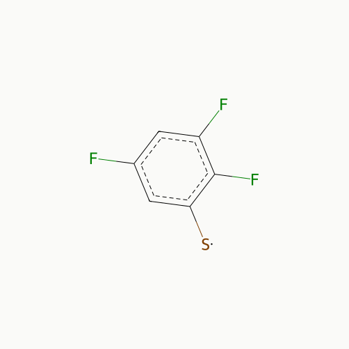 Fc1cc(F)c(F)c([S])c1